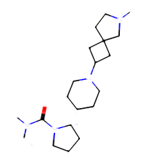 CCOC(=O)N1CCC2(CC(N3CCC([C@@H]4CCCN4C(=O)N(C)C)CC3)C2)C1